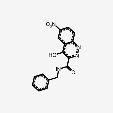 O=C(NCc1ccccc1)c1nnc2ccc([N+](=O)[O-])cc2c1O